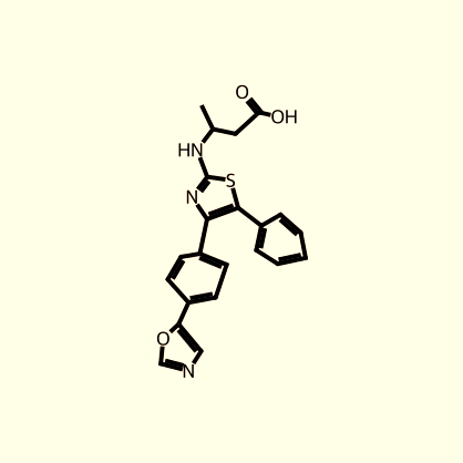 CC(CC(=O)O)Nc1nc(-c2ccc(-c3cnco3)cc2)c(-c2ccccc2)s1